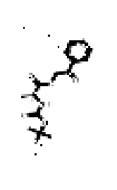 C[C@H](NC(=O)OC(C)(C)C)C(=O)OCC(=O)c1ccccc1